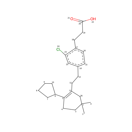 CC1(C)CCC(C2CCCC2)=C(CCc2ccc(CCC(=O)O)c(Cl)c2)C1